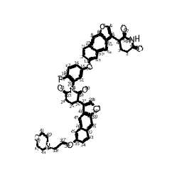 O=C1CCC(c2coc3cc4ccc(Oc5ccc(F)c(N6C(=O)CCC(c7coc8cc9ccc(OCCN%10CCOCC%10)cc9cc78)C6=O)c5)cc4cc23)C(=O)N1